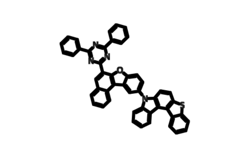 c1ccc(-c2nc(-c3ccccc3)nc(-c3cc4ccccc4c4c3oc3ccc(-n5c6ccccc6c6c7c(ccc65)sc5ccccc57)cc34)n2)cc1